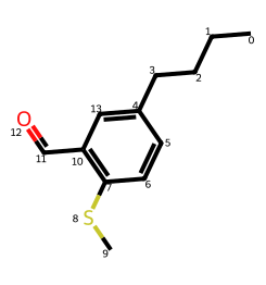 CCCCc1ccc(SC)c(C=O)c1